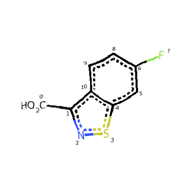 O=C(O)c1nsc2cc(F)ccc12